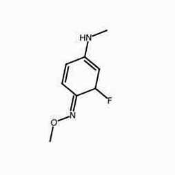 CNC1=CC(F)C(=NOC)C=C1